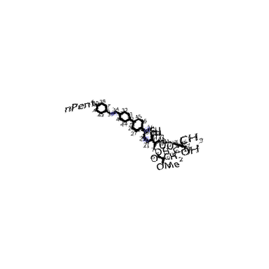 C=C(COC)C(=O)OCC(COCOCC(C)(C)CO)C(=C)/C=C\C(=C/C)C1CCC(C2CCC(/C=C/C3CCC(CCCCC)CC3)CC2)CC1